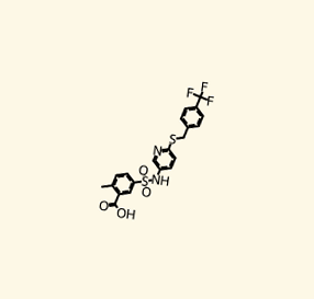 Cc1ccc(S(=O)(=O)Nc2ccc(SCc3ccc(C(F)(F)F)cc3)nc2)cc1C(=O)O